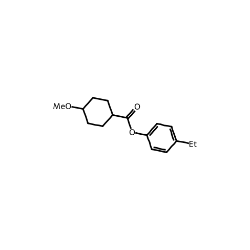 CCc1ccc(OC(=O)C2CCC(OC)CC2)cc1